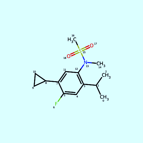 CC(C)c1cc(F)c(C2CC2)cc1N(C)S(C)(=O)=O